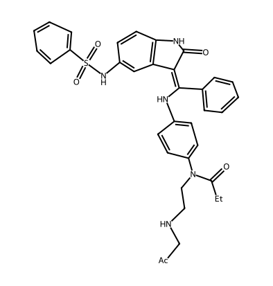 CCC(=O)N(CCNCC(C)=O)c1ccc(N/C(=C2/C(=O)Nc3ccc(NS(=O)(=O)c4ccccc4)cc32)c2ccccc2)cc1